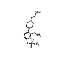 COCCN1CCN(c2cccc(OS(=O)(=O)C(F)(F)F)c2CN)CC1